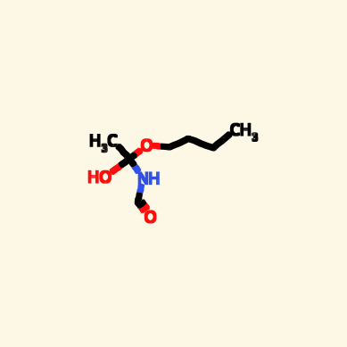 CCCCOC(C)(O)NC=O